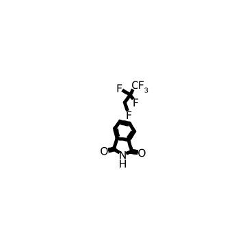 FCC(F)(F)C(F)(F)F.O=C1NC(=O)c2ccccc21